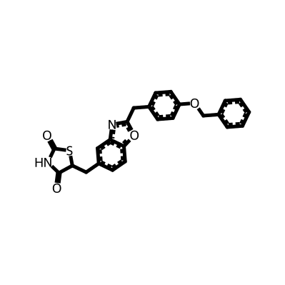 O=C1NC(=O)C(Cc2ccc3oc(Cc4ccc(OCc5ccccc5)cc4)nc3c2)S1